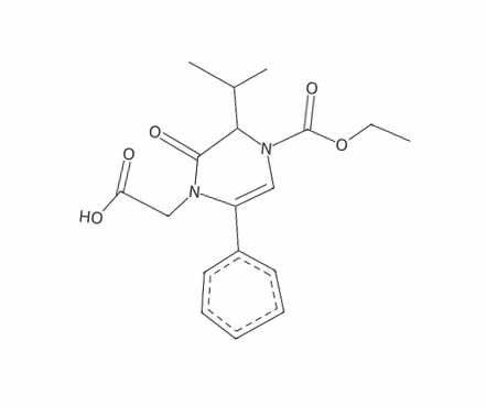 CCOC(=O)N1C=C(c2ccccc2)N(CC(=O)O)C(=O)C1C(C)C